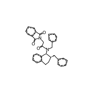 O=C1c2ccccc2C(=O)N1CC(=O)N(Cc1ccccc1)[C@@H]1c2ccccc2CC[C@@H]1Cc1ccccc1